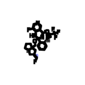 C[C@@H]1C[C@@H]1c1ccccc1C1(OCC23CCCN2C/C(=C\F)C3)N=C(OCC(F)(F)F)c2cncc(F)c2N1